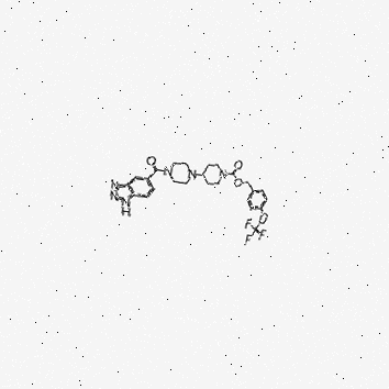 O=C(OCc1ccc(OC(F)(F)F)cc1)N1CCC(N2CCN(C(=O)c3ccc4[nH]nnc4c3)CC2)CC1